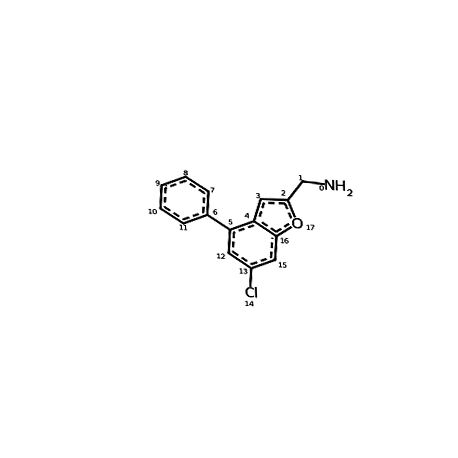 NCc1cc2c(-c3cc[c]cc3)cc(Cl)cc2o1